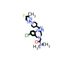 Cc1nc(N2CCC(c3nnc4n3-c3ccc(Cl)cc3CN(CC(=O)N(C)C)C4)CC2)ncc1F